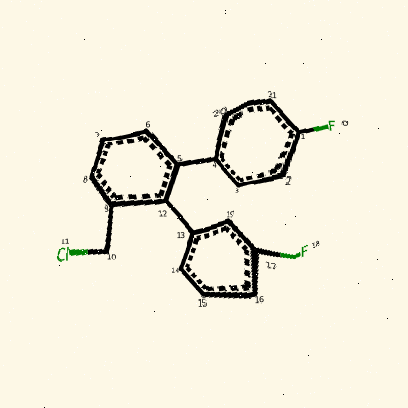 Fc1ccc(-c2cccc(CCl)c2-c2cccc(F)c2)cc1